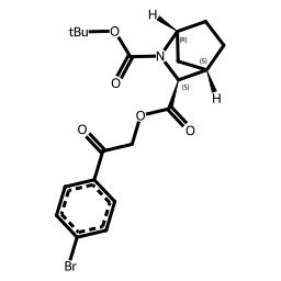 CC(C)(C)OC(=O)N1[C@@H]2CC[C@@H](C2)[C@H]1C(=O)OCC(=O)c1ccc(Br)cc1